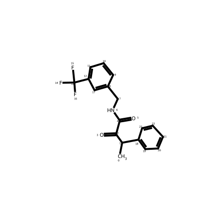 CC(C(=O)C(=O)NCc1cccc(C(F)(F)F)c1)c1ccccc1